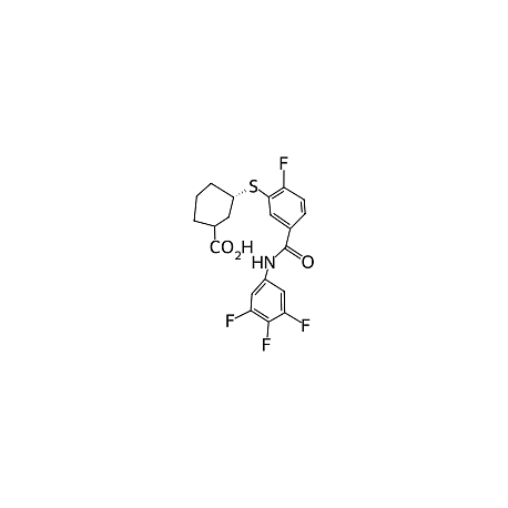 O=C(Nc1cc(F)c(F)c(F)c1)c1ccc(F)c(S[C@H]2CCCC(C(=O)O)C2)c1